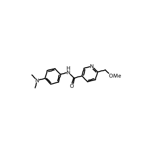 COCc1ccc(C(=O)Nc2ccc(N(C)C)cc2)cn1